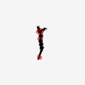 C=CC(=O)OCCCCCCCC1CCC(c2ccc(-c3ccc(C(=O)Oc4ccc(C5O[C@@H](C(=O)OCCCC)[C@H](C(=O)OCCCC)O5)cc4)cc3)cc2)CC1